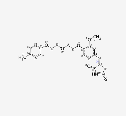 COc1cc(/C=C2/SC(=S)NC2=O)ccc1OCCOCCOc1ccc(C)cc1